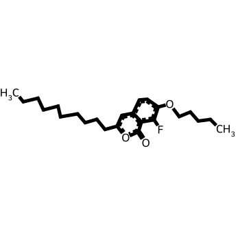 CCCCCCCCCCc1cc2ccc(OCCCCC)c(F)c2c(=O)o1